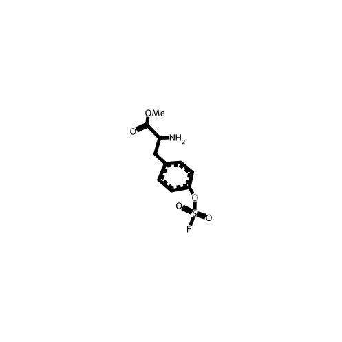 COC(=O)C(N)Cc1ccc(OS(=O)(=O)F)cc1